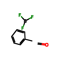 C=O.Cc1ccccc1.FB(F)F